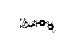 NC(=O)O[C@H](CO)Cc1nc(-c2ccc(Oc3ncc(Br)cc3F)cc2)no1